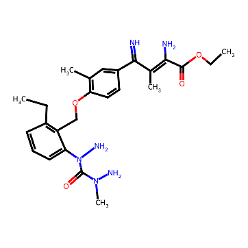 CCOC(=O)/C(N)=C(\C)C(=N)c1ccc(OCc2c(CC)cccc2N(N)C(=O)N(C)N)c(C)c1